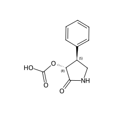 O=C(O)O[C@H]1C(=O)NC[C@@H]1c1ccccc1